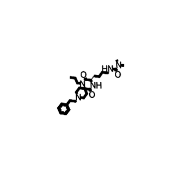 CCCN1C(=O)[C@H](CCCCNC(=O)N(C)C)NC(=O)C12CCN(CCc1ccccc1)CC2